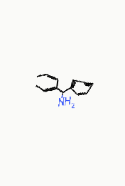 C/C=C\C(=C/C)C(N)c1ccccc1